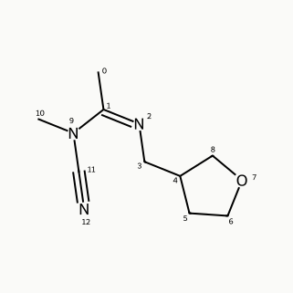 CC(=NCC1CCOC1)N(C)C#N